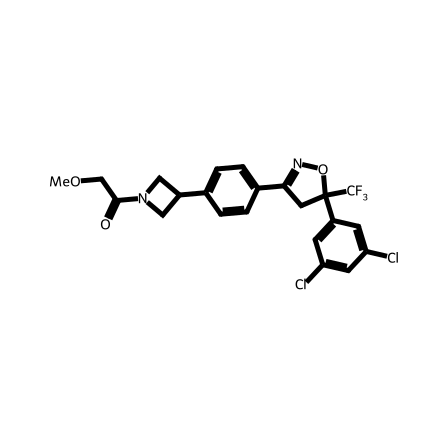 COCC(=O)N1CC(c2ccc(C3=NOC(c4cc(Cl)cc(Cl)c4)(C(F)(F)F)C3)cc2)C1